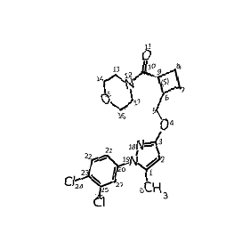 Cc1cc(OCC2CC[C@@H]2C(=O)N2CCOCC2)nn1-c1ccc(Cl)c(Cl)c1